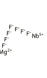 [F-].[F-].[F-].[F-].[F-].[F-].[F-].[Mg+2].[Nb+5]